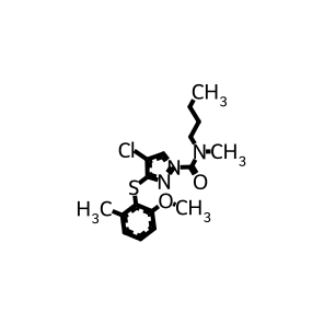 CCCCN(C)C(=O)n1cc(Cl)c(Sc2c(C)cccc2OC)n1